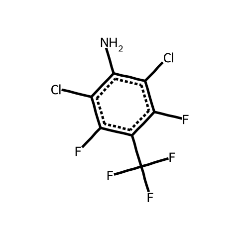 Nc1c(Cl)c(F)c(C(F)(F)F)c(F)c1Cl